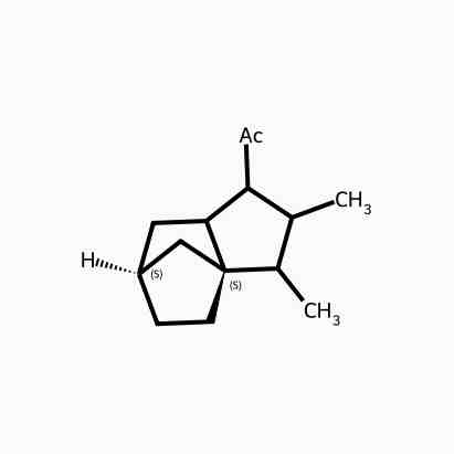 CC(=O)C1C(C)C(C)[C@@]23CC[C@@H](CC12)C3